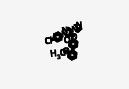 COc1ccccc1-c1ccc(Oc2c(-n3ccnc3)cnn(-c3ccc(Cl)cc3)c2=O)cc1